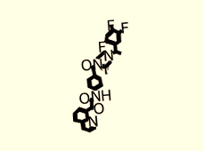 CC(c1cc(F)c(F)cc1F)N1CCN(C(=O)c2ccc(NC(=O)C(=O)c3cccc4cccnc34)cc2)[C@H](C)C1